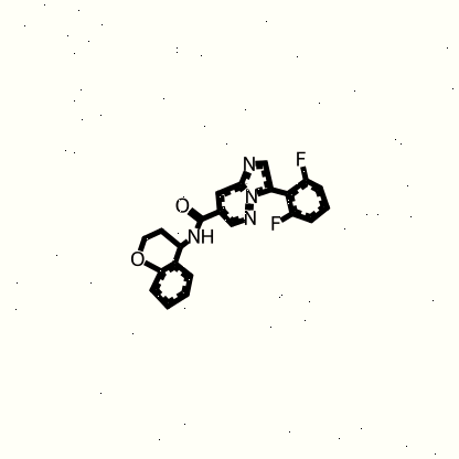 O=C(NC1CCOc2ccccc21)c1cnn2c(-c3c(F)cccc3F)cnc2c1